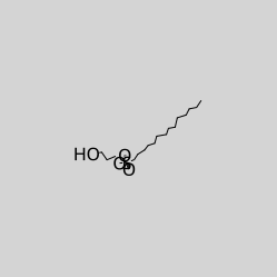 CCCCCCCCCCCCCCS(=O)(=O)OCCCO